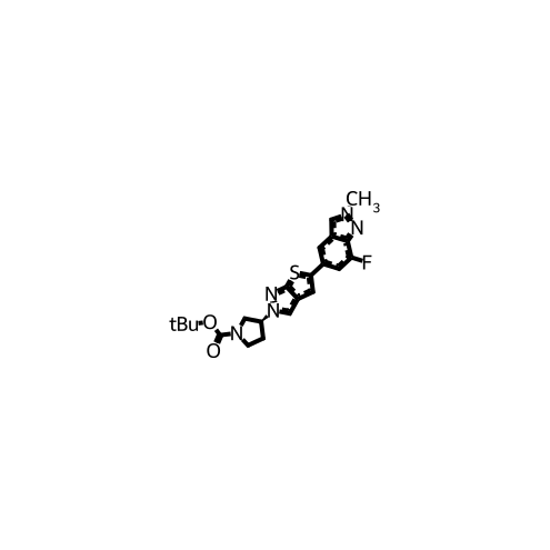 Cn1cc2cc(-c3cc4cn([C@H]5CCN(C(=O)OC(C)(C)C)C5)nc4s3)cc(F)c2n1